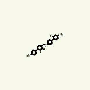 CCCCc1ccc(-c2ccc(OCc3ccc(-c4ccc(CCC)cc4)c(F)c3F)cc2)c(F)c1